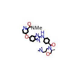 CNC(=O)c1cc(Oc2ccc3c(c2)nc(Nc2ccc(C(=O)N4CC(CN(C)C)OC[C@@H]4C)cc2)n3C)ccn1